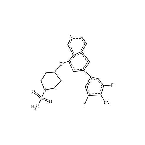 CS(=O)(=O)N1CCC(Oc2cc(-c3cc(F)c(C#N)c(F)c3)cc3ccncc23)CC1